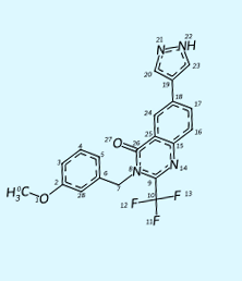 COc1cccc(Cn2c(C(F)(F)F)nc3ccc(-c4cn[nH]c4)cc3c2=O)c1